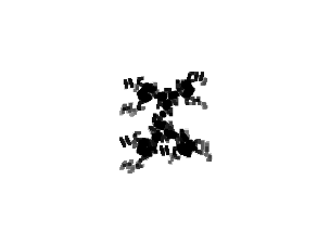 Cc1cc(C)n(-c2nc(N=Nc3nc(-n4nc(C)cc4C)nc(-n4nc(C)cc4C)n3)nc(-n3nc(C)cc3C)n2)n1